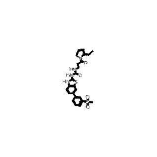 CCC1CCCN1C(=O)CCNC(=O)NC1Nc2ccc(-c3cccc(S(C)(=O)=O)c3)cc2S1